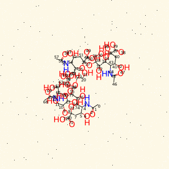 CC(=O)NC1C(O)CC(OC(CO)C(O)C2OC(OC(CO)C(O)C3OC(OC(CO)C(O)C4OC(O)(C(=O)O)CC(O)C4NC(C)=O)(C(=O)O)CC(O)C3NC(C)=O)(C(=O)O)CC(O)C2NC(C)=O)(C(=O)O)OC1C(O)C(O)CO